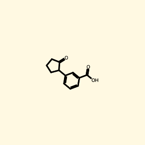 O=C(O)c1cccc(C2CCCC2=O)c1